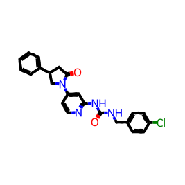 O=C(NCc1ccc(Cl)cc1)Nc1cc(N2CC(c3ccccc3)CC2=O)ccn1